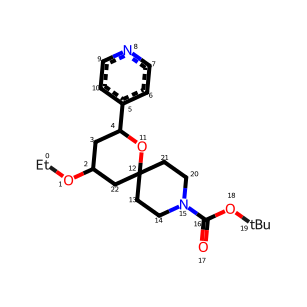 CCOC1CC(c2ccncc2)OC2(CCN(C(=O)OC(C)(C)C)CC2)C1